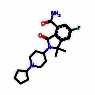 CC1(C)c2cc(F)cc(C(N)=O)c2C(=O)N1C1CCN(C2CCCC2)CC1